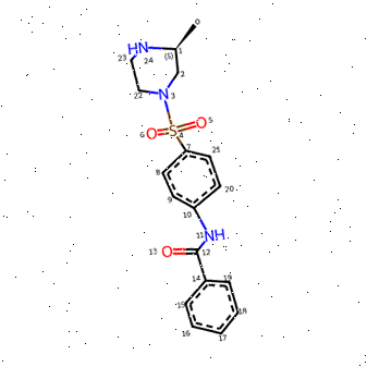 C[C@H]1CN(S(=O)(=O)c2ccc(NC(=O)c3ccccc3)cc2)CCN1